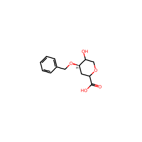 O=C(O)C1C[C@@H](OCc2ccccc2)C(O)CO1